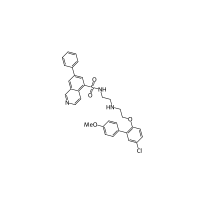 COc1ccc(-c2cc(Cl)ccc2OCCNCCNS(=O)(=O)c2cc(-c3ccccc3)cc3cnccc23)cc1